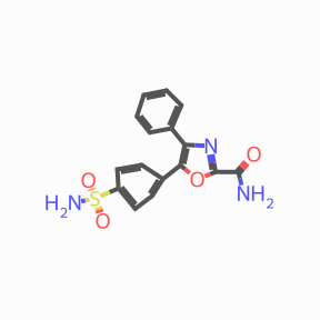 NC(=O)c1nc(-c2ccccc2)c(-c2ccc(S(N)(=O)=O)cc2)o1